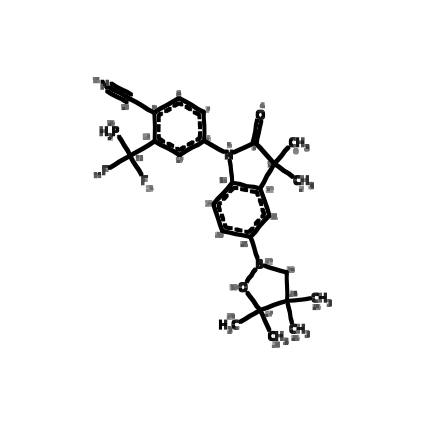 CC1(C)C(=O)N(c2ccc(C#N)c(C(F)(F)P)c2)c2ccc(B3CC(C)(C)C(C)(C)O3)cc21